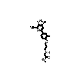 CNC(=O)CNCCCOc1ccc(-c2cc3c(nnn3C)c(C#N)n2)cc1C